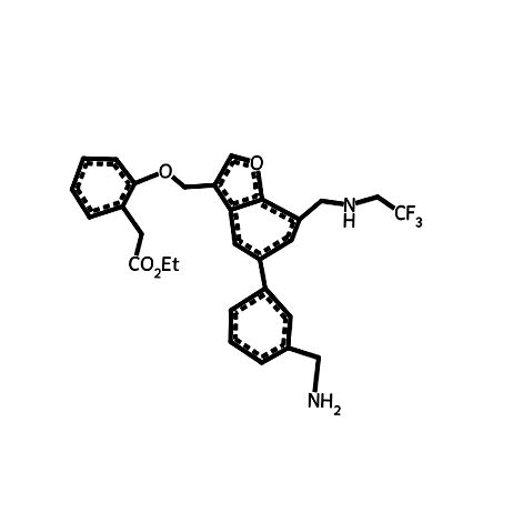 CCOC(=O)Cc1ccccc1OCc1coc2c(CNCC(F)(F)F)cc(-c3cccc(CN)c3)cc12